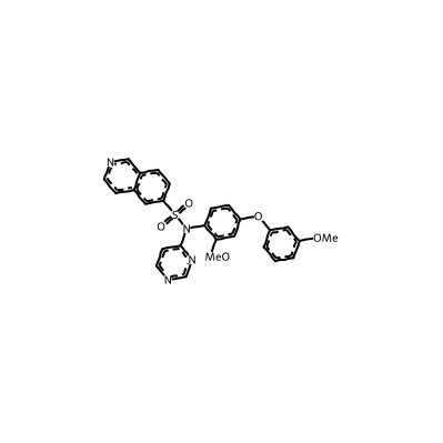 COc1cccc(Oc2ccc(N(c3ccncn3)S(=O)(=O)c3ccc4cnccc4c3)c(OC)c2)c1